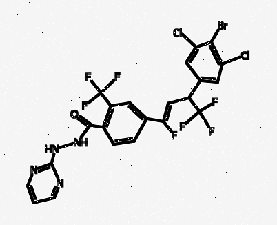 O=C(NNc1ncccn1)c1ccc(/C(F)=C/C(c2cc(Cl)c(Br)c(Cl)c2)C(F)(F)F)cc1C(F)(F)F